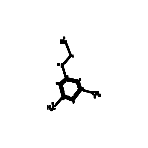 CCC(C)CSc1cc(C)cc(C)c1